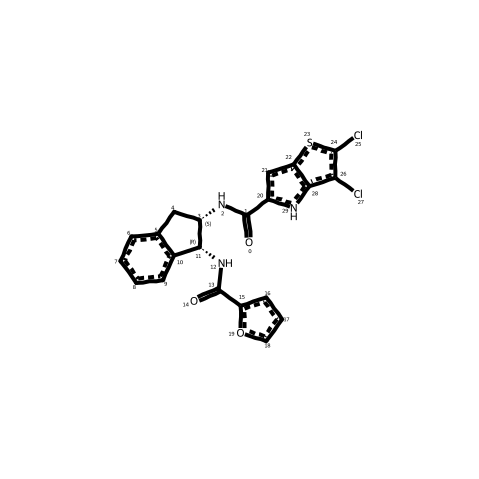 O=C(N[C@H]1Cc2ccccc2[C@H]1NC(=O)c1ccco1)c1cc2sc(Cl)c(Cl)c2[nH]1